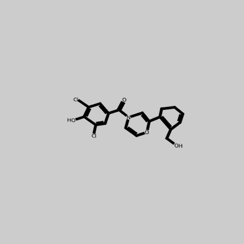 O=C(c1cc(Cl)c(O)c(Cl)c1)N1C=COC(C2=C(CO)C=CCC2)=C1